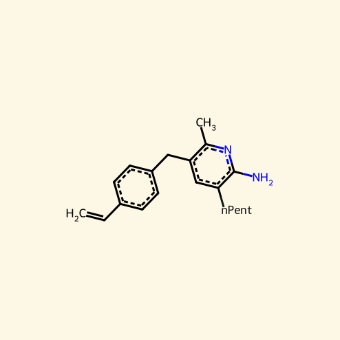 C=Cc1ccc(Cc2cc(CCCCC)c(N)nc2C)cc1